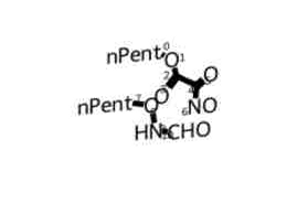 CCCCCOC(=O)C(=O)N=O.CCCCCONC=O